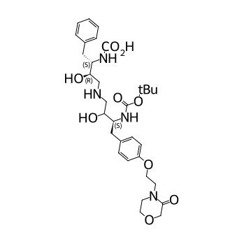 CC(C)(C)OC(=O)N[C@@H](Cc1ccc(OCCN2CCOCC2=O)cc1)C(O)CNC[C@@H](O)[C@H](Cc1ccccc1)NC(=O)O